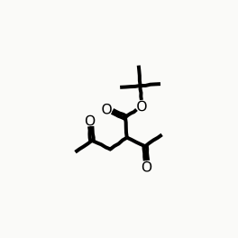 CC(=O)CC(C(C)=O)C(=O)OC(C)(C)C